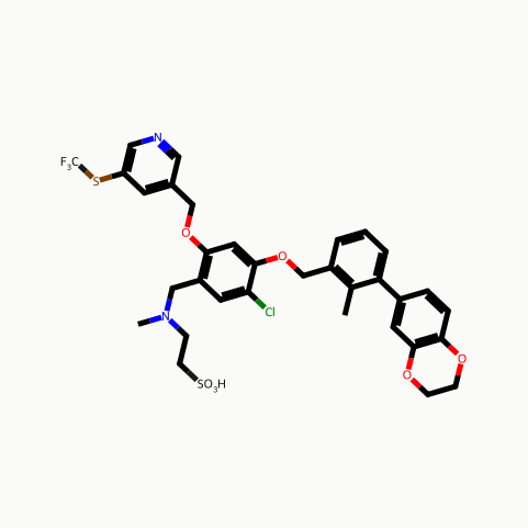 Cc1c(COc2cc(OCc3cncc(SC(F)(F)F)c3)c(CN(C)CCS(=O)(=O)O)cc2Cl)cccc1-c1ccc2c(c1)OCCO2